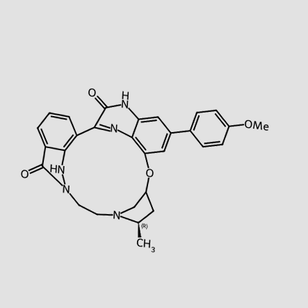 COc1ccc(-c2cc3c4nc(c(=O)[nH]c4c2)-c2cccc4c(=O)n([nH]c24)CCN2CC(C[C@H]2C)O3)cc1